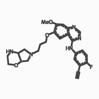 C#Cc1cc(Nc2ncnc3cc(OC)c(OCCCN4CC5NCCOC5C4)cc23)ccc1F